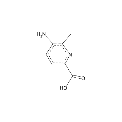 Cc1nc(C(=O)O)ccc1N